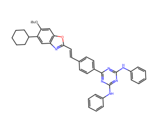 CC(C)COc1cc2oc(C=Cc3ccc(-c4nc(Nc5ccccc5)nc(Nc5ccccc5)n4)cc3)nc2cc1C1CCCCC1